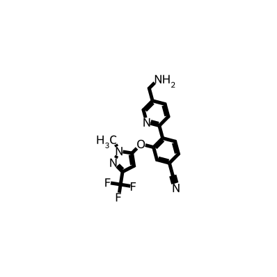 Cn1nc(C(F)(F)F)cc1Oc1cc(C#N)ccc1-c1ccc(CN)cn1